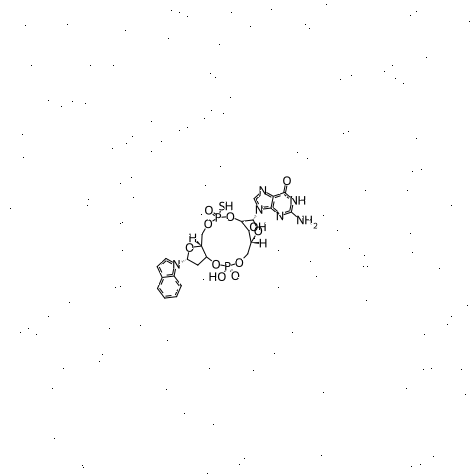 Nc1nc2c(ncn2[C@@H]2O[C@@H]3COP(=O)(O)OC4C[C@H](n5ccc6ccccc65)O[C@@H]4COP(=O)(S)OC2C3O)c(=O)[nH]1